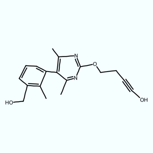 Cc1nc(OCCC#CO)nc(C)c1-c1cccc(CO)c1C